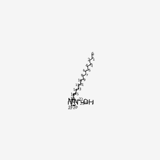 CCCCCCCCCCCCCCCC=CC1=NCCN1CCO